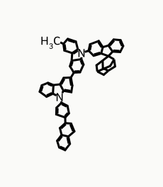 Cc1ccc2c(c1)c1cc(-c3ccc4c(c3)c3ccccc3n4-c3ccc(-c4ccc5ccccc5c4)cc3)ccc1n2-c1ccc2c(c1)C1(c3ccccc3-2)C2CC3CC(C2)CC1C3